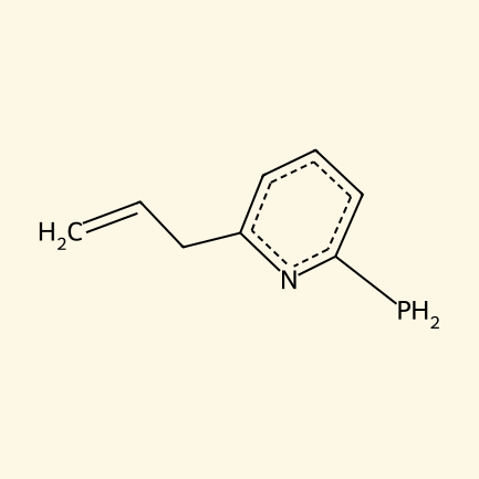 C=CCc1cccc(P)n1